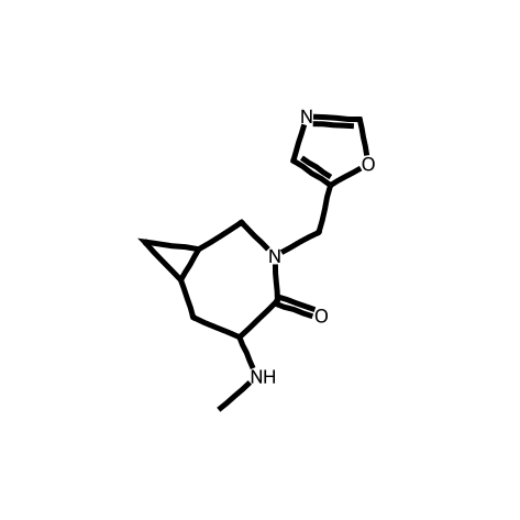 CNC1CC2CC2CN(Cc2cnco2)C1=O